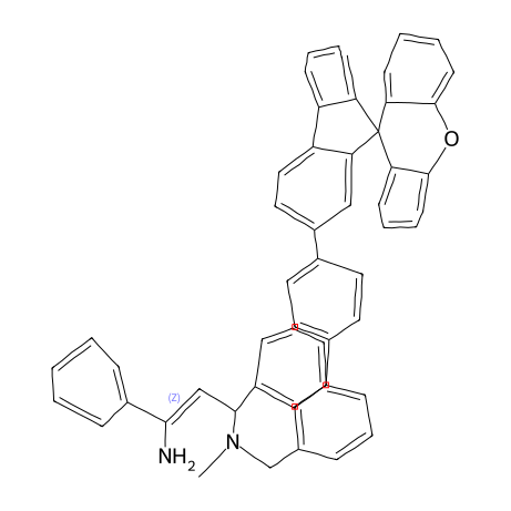 CN(Cc1cccc(-c2ccc(-c3ccc4c(c3)C3(c5ccccc5Oc5ccccc53)c3ccccc3-4)cc2)c1)C(/C=C(\N)c1ccccc1)c1ccccc1